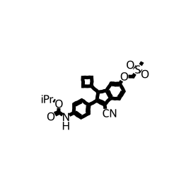 CC(C)OC(=O)Nc1ccc(C2=C(C#N)c3ccc(OCS(C)(=O)=O)cc3C2C2CCC2)cc1